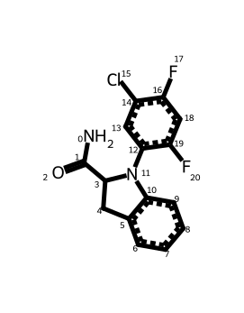 NC(=O)C1Cc2ccccc2N1c1cc(Cl)c(F)cc1F